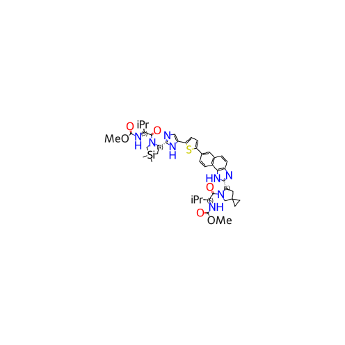 COC(=O)N[C@H](C(=O)N1C[Si](C)(C)C[C@H]1c1ncc(-c2ccc(-c3ccc4c(ccc5nc([C@@H]6CC7(CC7)CN6C(=O)[C@@H](NC(=O)OC)C(C)C)[nH]c54)c3)s2)[nH]1)C(C)C